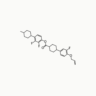 C=CCOc1ccc(C2CCC(C(=O)Oc3ccc(C4CCC(C)CC4)c(F)c3F)CC2)cc1F